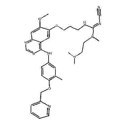 COc1cc2ncnc(Nc3ccc(OCc4ccccn4)c(C)c3)c2cc1OCCCN/C(=N\C#N)N(C)CCN(C)C